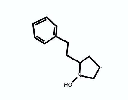 ON1C[CH]CC1CCc1ccccc1